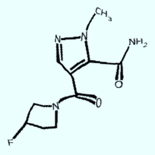 Cn1ncc(C(=O)N2CC(F)C2)c1C(N)=O